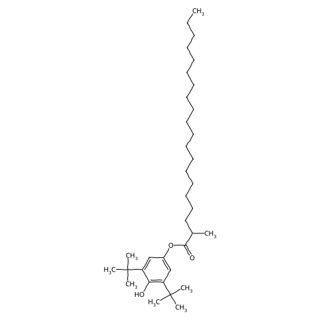 CCCCCCCCCCCCCCCCCCC(C)C(=O)Oc1cc(C(C)(C)C)c(O)c(C(C)(C)C)c1